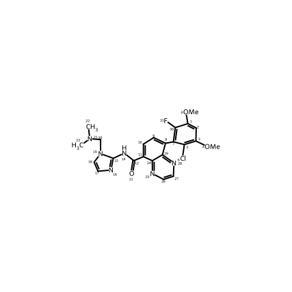 COc1cc(OC)c(Cl)c(-c2ccc(C(=O)Nc3nccn3CN(C)C)c3nccnc23)c1F